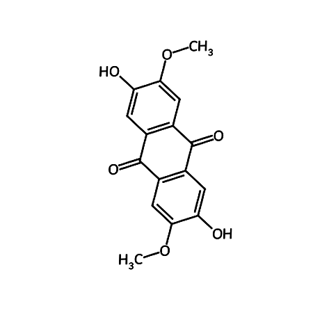 COc1cc2c(cc1O)C(=O)c1cc(OC)c(O)cc1C2=O